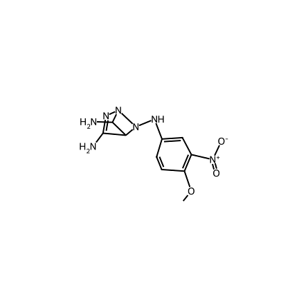 COc1ccc(NN2C3C(N)=NN2C3N)cc1[N+](=O)[O-]